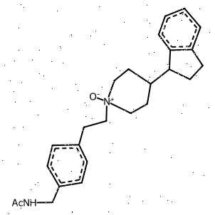 CC(=O)NCc1ccc(CC[N+]2([O-])CCC(C3CCc4ccccc43)CC2)cc1